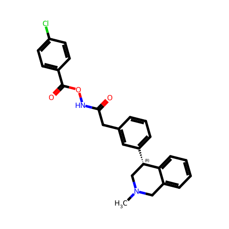 CN1Cc2ccccc2[C@@H](c2cccc(CC(=O)NOC(=O)c3ccc(Cl)cc3)c2)C1